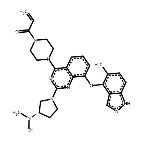 C=CC(=O)N1CCN(c2nc(N3CC[C@H](N(C)C)C3)nc3c(Oc4c(C)ccc5[nH]ncc45)cccc23)CC1